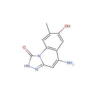 Cc1cc2c(cc1O)c(N)cc1n[nH]c(=O)n12